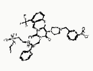 CCOP(=O)(O)CCN[C@@H](Cn1c(=O)c(N2CCN(Cc3cccc([N+](=O)[O-])c3)CC2)c(C)n(Cc2c(F)cccc2C(F)(F)F)c1=O)c1ccccc1